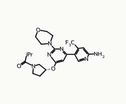 CC(C)C(=O)N1CC[C@@H](Oc2cc(-c3cnc(N)cc3C(F)(F)F)nc(N3CCOCC3)n2)C1